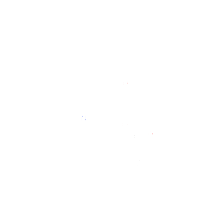 CC(=O)C(=Cc1ccnc2ccccc12)C(=O)OCCOc1ccccc1